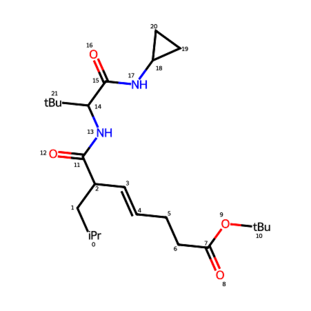 CC(C)CC(C=CCCC(=O)OC(C)(C)C)C(=O)NC(C(=O)NC1CC1)C(C)(C)C